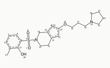 Cc1cccc(S(=O)(=O)N2CCc3cc(OCCCN4CCCC4)sc3C2)c1O